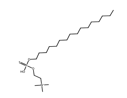 CCCCCCCCCCCCCCCCOP(O)(=S)OCC[N+](C)(C)C